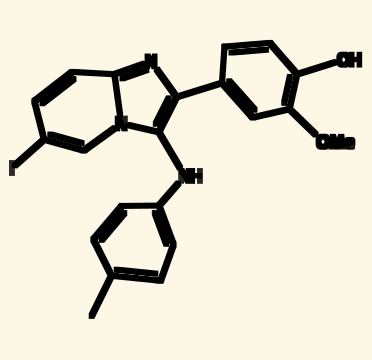 COc1cc(-c2nc3ccc(I)cn3c2Nc2ccc(C)cc2)ccc1O